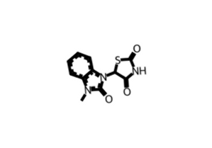 Cn1c(=O)n(C2SC(=O)NC2=O)c2ccccc21